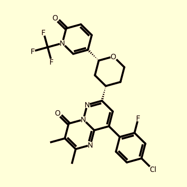 Cc1nc2c(-c3ccc(Cl)cc3F)cc([C@H]3CCO[C@@H](c4ccc(=O)n(C(F)(F)F)c4)C3)nn2c(=O)c1C